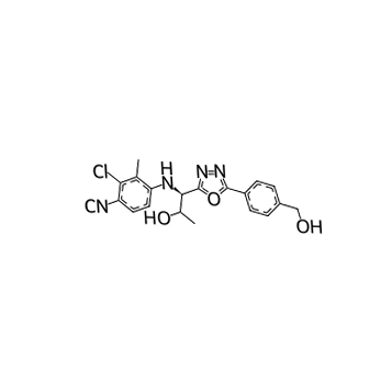 [C-]#[N+]c1ccc(N[C@@H](c2nnc(-c3ccc(CO)cc3)o2)C(C)O)c(C)c1Cl